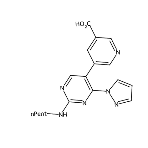 CCCCCNc1ncc(-c2cncc(C(=O)O)c2)c(-n2cccn2)n1